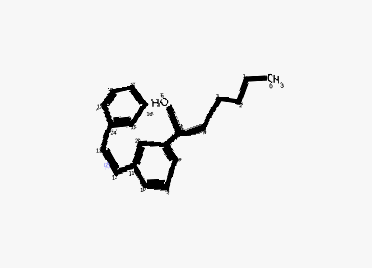 CCCCCC(O)c1cccc(/C=C\c2ccccc2)c1